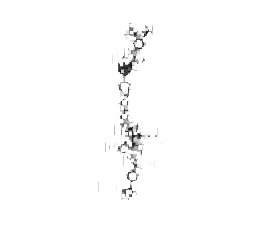 Cc1ncsc1-c1ccc([C@H](C)NC(=O)[C@@H]2C[C@@H](O)CN2C(=O)[C@@H](NC(=O)CN2CC(N3CC(N4CCC(c5cnn(C(C)(C)C(=O)Nc6ccc(C#N)c(C(F)(F)F)c6)c5)CC4)C3)C2)C(C)(C)C)cc1